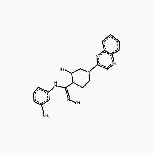 Cc1cccc(N/C(=N/C#N)N2CCN(c3cnc4ccccc4n3)CC2C(C)C)c1